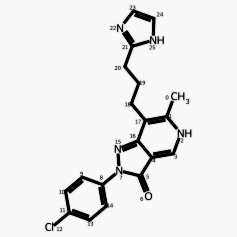 Cc1[nH]cc2c(=O)n(-c3ccc(Cl)cc3)nc-2c1CCCc1ncc[nH]1